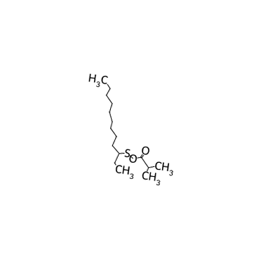 CCCCCCCCCC(CC)SOC(=O)C(C)C